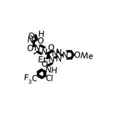 CCc1c(N2CCN(C(=O)c3nocc3O)[C@H](C)C2)c(=O)n2nc(N3CCC(OC)CC3)nc2n1CC(=O)Nc1ccc(C(F)(F)F)cc1Cl